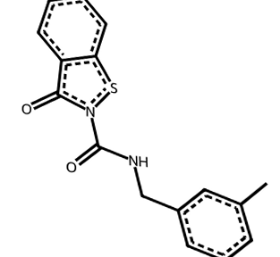 Cc1cccc(CNC(=O)n2sc3ccccc3c2=O)c1